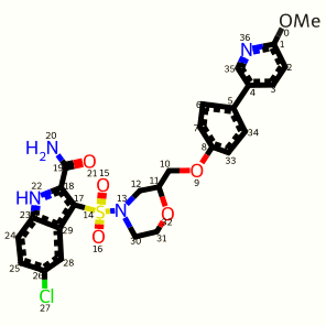 COc1ccc(-c2ccc(OCC3CN(S(=O)(=O)c4c(C(N)=O)[nH]c5ccc(Cl)cc45)CCO3)cc2)cn1